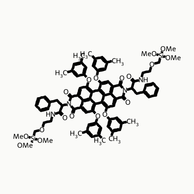 CO[Si](COCCNC(=O)C(Cc1ccccc1)N1C(=O)c2cc(Oc3cc(C)cc(C)c3)c3c4c(Oc5cc(C)cc(C)c5)cc5c6c(cc(Oc7cc(C)cc(C)c7)c(c7c(Oc8cc(C)cc(C)c8)cc(c2c37)C1=O)c64)C(=O)N(C(Cc1ccccc1)C(=O)NCCOC[Si](OC)(OC)OC)C5=O)(OC)OC